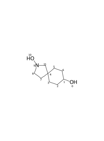 OC1CCC2(CC1)CCN(O)C2